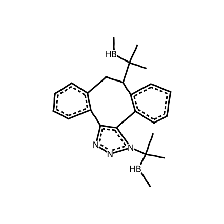 CBC(C)(C)C1Cc2ccccc2-c2nnn(C(C)(C)BC)c2-c2ccccc21